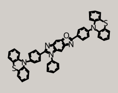 c1ccc(-n2c(-c3ccc(N4c5ccccc5Sc5ccccc54)cc3)nc3cc4oc(-c5ccc(N6c7ccccc7Sc7ccccc76)cc5)nc4cc32)cc1